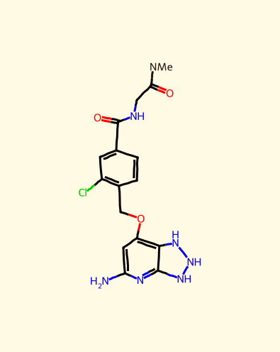 CNC(=O)CNC(=O)c1ccc(COc2cc(N)nc3c2NNN3)c(Cl)c1